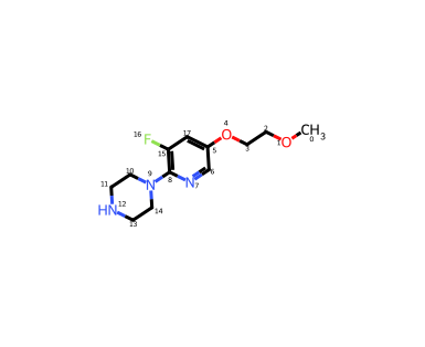 COCCOc1cnc(N2CCNCC2)c(F)c1